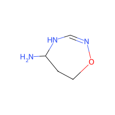 NC1CCON=CN1